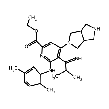 CCOC(=O)c1cc(N2CC3CNCC3C2)c(C(=N)C(C)C)c(NC2C=C(C)C=CC2C)n1